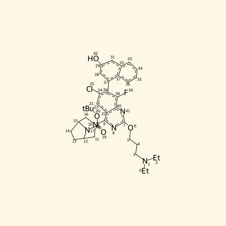 CCN(CC)CCCOc1nc(N2CC3CCC(C2)N3C(=O)OC(C)(C)C)c2cc(Cl)c(-c3cc(O)cc4ccccc34)c(F)c2n1